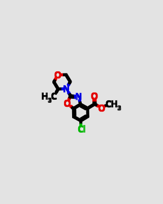 COC(=O)c1cc(Cl)cc2oc(N3CCOCC3C)nc12